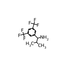 CC(C)C(N)c1cc(C(F)(F)F)cc(C(F)(F)F)c1